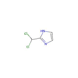 ClC(Cl)c1ncc[nH]1